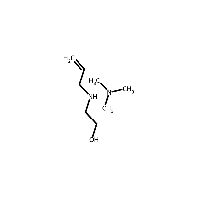 C=CCNCCO.CN(C)C